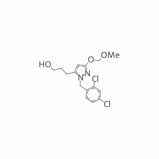 COCOc1cc(CCCO)n(Cc2ccc(Cl)cc2Cl)n1